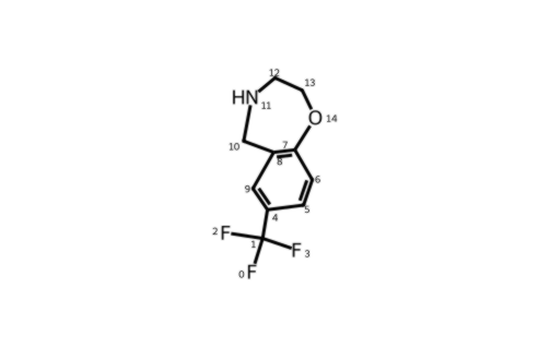 FC(F)(F)c1ccc2c(c1)CNCCO2